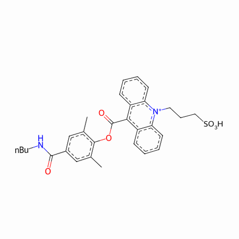 CCCCNC(=O)c1cc(C)c(OC(=O)c2c3ccccc3[n+](CCCS(=O)(=O)O)c3ccccc23)c(C)c1